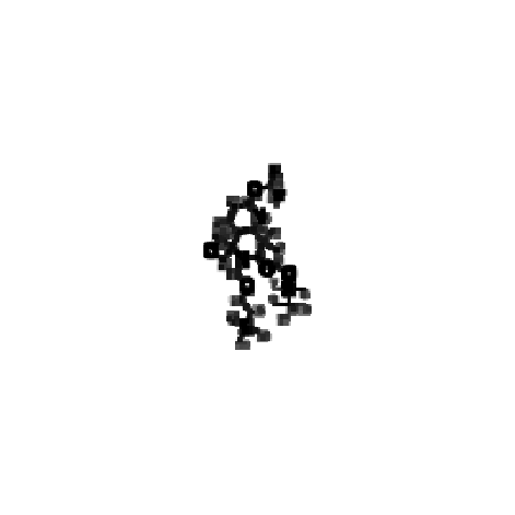 CC1(CCO[Si](C)(C)C(C)(C)C)C(=O)N(COCC[Si](C)(C)C)C2(COC2)c2ccc(OC(F)F)nc21